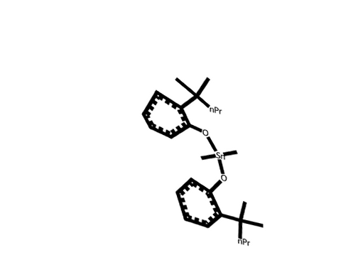 CCCC(C)(C)c1ccccc1[O][Sn]([CH3])([CH3])[O]c1ccccc1C(C)(C)CCC